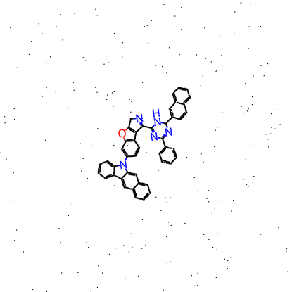 c1ccc(C2=NC(c3ccc4ccccc4c3)NC(C3=NCc4oc5cc(-n6c7ccccc7c7cc8ccccc8cc76)ccc5c43)=N2)cc1